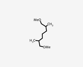 COCC(C)CCCC(C)COC